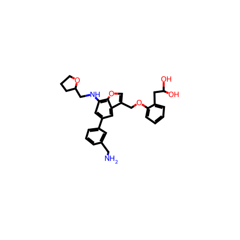 NCc1cccc(-c2cc(NCC3CCCO3)c3occ(COc4ccccc4CC(O)O)c3c2)c1